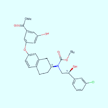 COC(=O)c1cc(O)cc(Oc2ccc3c(c2)C[C@@H](N(C[C@@H](O)c2cccc(Cl)c2)C(=O)OC(C)(C)C)CC3)c1